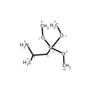 CO[Si](CC(C)N)(OC)OC